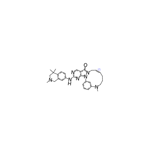 CN1Cc2cc(Nc3ncc4c(=O)n5n(c4n3)-c3cccc(c3)N(C)CCC/C=C\C5)ccc2C(C)(C)C1